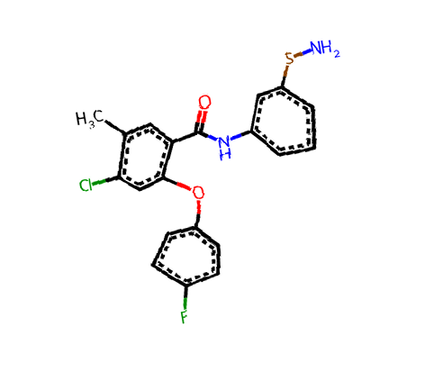 Cc1cc(C(=O)Nc2cccc(SN)c2)c(Oc2ccc(F)cc2)cc1Cl